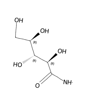 [NH]C(=O)[C@H](O)[C@H](O)[C@H](O)CO